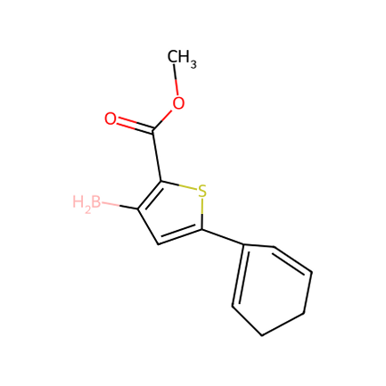 Bc1cc(C2=CCCC=C2)sc1C(=O)OC